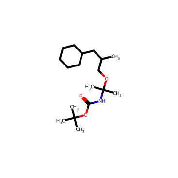 CC(COC(C)(C)NC(=O)OC(C)(C)C)CC1CCCCC1